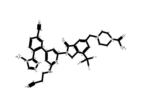 CC(=O)N1CCN(Cc2cc3c(c(C(F)(F)F)c2)CN(c2cc(-c4cc(C#N)ccc4-c4nncn4C)cc(NCCC#N)n2)C3=O)CC1